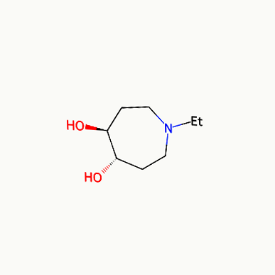 CCN1CC[C@H](O)[C@@H](O)CC1